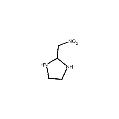 O=[N+]([O-])CC1NCCN1